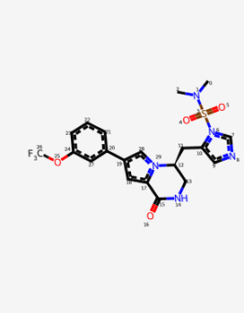 CN(C)S(=O)(=O)n1cncc1C[C@H]1CNC(=O)c2cc(-c3cccc(OC(F)(F)F)c3)cn21